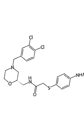 CC(=O)Nc1ccc(SCC(=O)NC[C@H]2CN(Cc3ccc(Cl)c(Cl)c3)CCO2)cc1